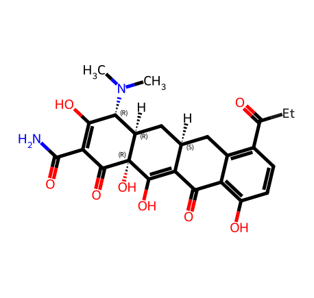 CCC(=O)c1ccc(O)c2c1C[C@@H]1C[C@@H]3[C@@H](N(C)C)C(O)=C(C(N)=O)C(=O)[C@]3(O)C(O)=C1C2=O